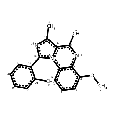 COc1cccc2c1nc(C)c1c(C)nc(-c3ccccc3C)n12